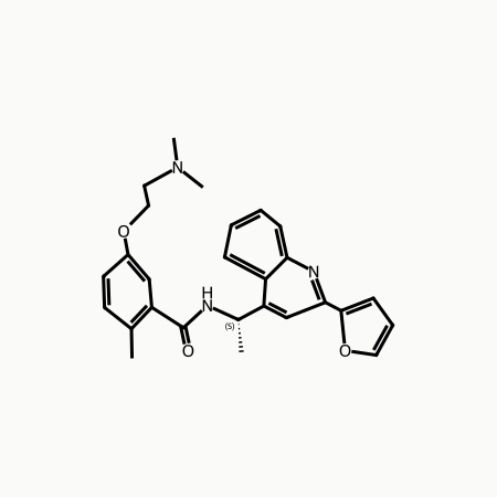 Cc1ccc(OCCN(C)C)cc1C(=O)N[C@@H](C)c1cc(-c2ccco2)nc2ccccc12